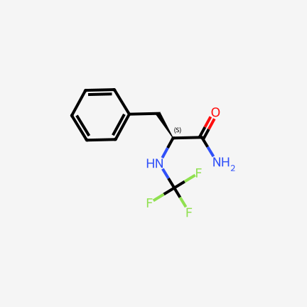 NC(=O)[C@H](Cc1ccccc1)NC(F)(F)F